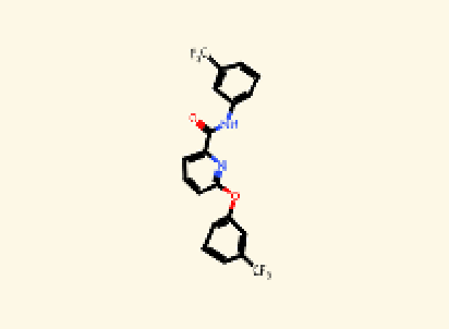 O=C(Nc1cccc(C(F)(F)F)c1)c1cccc(Oc2cccc(C(F)(F)F)c2)n1